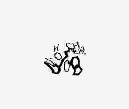 CN(C)CCC(O)(Oc1cccc2c1CCC2)c1cccs1